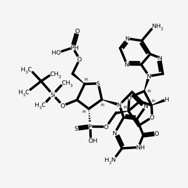 CC(C)(C)[Si](C)(C)OC1[C@@H](P(O)(=S)OC[C@]23CO[C@H](C2)[C@H](n2cnc4c(N)ncnc42)O3)[C@H](n2cnc3c(=O)[nH]c(N)nc32)S[C@@H]1CO[PH](=O)O